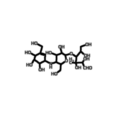 CC(O)(C(O)C=O)C(OC1OC(CO)C(NC2C=C(CO)C(O)C(O)C2O)C(O)C1O)C(O)CO